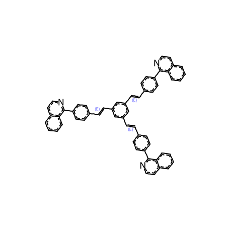 C(=C\c1cc(/C=C/c2ccc(-c3nccc4ccccc34)cc2)cc(/C=C/c2ccc(-c3nccc4ccccc34)cc2)c1)/c1ccc(-c2nccc3ccccc23)cc1